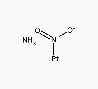 N.O=[N+]([O-])[Pt]